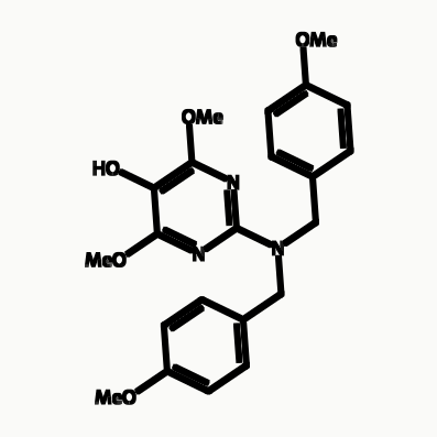 COc1ccc(CN(Cc2ccc(OC)cc2)c2nc(OC)c(O)c(OC)n2)cc1